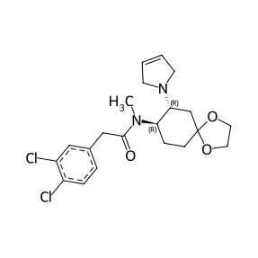 CN(C(=O)Cc1ccc(Cl)c(Cl)c1)[C@@H]1CCC2(C[C@H]1N1CC=CC1)OCCO2